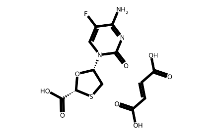 Nc1nc(=O)n([C@@H]2CS[C@H](C(=O)O)O2)cc1F.O=C(O)C=CC(=O)O